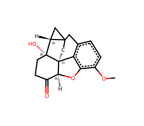 COc1ccc2c3c1O[C@H]1C(=O)CC[C@@]4(O)[C@@H]5CC5(C2)C[C@]314